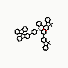 CC1(C)c2ccccc2-c2ccc(-c3cccc(N(c4ccc(-c5ccc6c(c5)C5(c7ccccc7-c7ccccc75)c5ccccc5-6)cc4)c4ccccc4-c4cccc5c4-c4ccccc4C5(C)C)c3)cc21